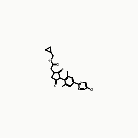 Cc1cc(-c2ncc(Cl)cn2)cc(C)c1C1C(=O)CC(CC(=O)NCC2CC2)C1=O